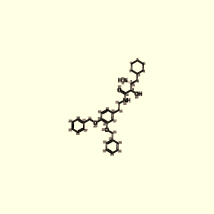 N[C@H](CC1CCCCC1)C(O)C(=O)NCCc1ccc(OCc2ccccc2)c(OCc2ccccc2)c1